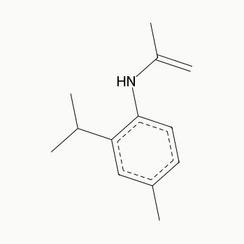 C=C(C)Nc1ccc(C)cc1C(C)C